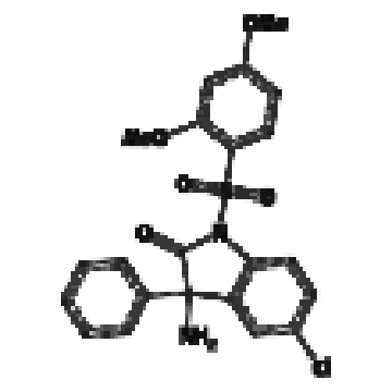 COc1ccc(S(=O)(=O)N2C(=O)C(N)(c3ccccc3)c3cc(Cl)ccc32)c(OC)c1